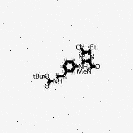 CCc1nc(C(=O)NC)c(Nc2cccc(CCNC(=O)OC(C)(C)C)c2)nc1Cl